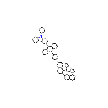 c1ccc(-n2c3ccccc3c3cc(-c4c5ccccc5c(-c5ccc(-c6ccc7c8c(ccc7c6)-c6ccc7ccccc7c6C86c7ccccc7-c7ccccc76)cc5)c5ccccc45)ccc32)cc1